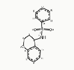 O=S(=O)(NC1CCOc2ccccc21)c1ccccc1